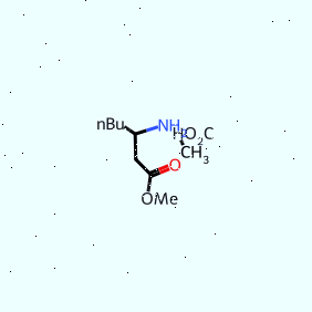 CC(=O)O.CCCCC(N)CC(=O)OC